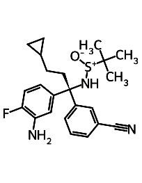 CC(C)(C)[S+]([O-])N[C@](CCC1CC1)(c1cccc(C#N)c1)c1ccc(F)c(N)c1